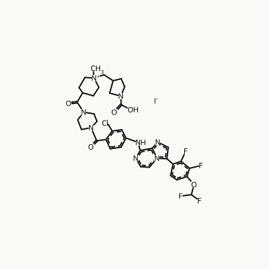 C[N+]1(CC2CCN(C(=O)O)C2)CCC(C(=O)N2CCN(C(=O)c3ccc(Nc4nccn5c(-c6ccc(OC(F)F)c(F)c6F)cnc45)cc3Cl)CC2)CC1.[I-]